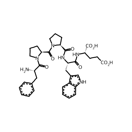 N[C@@H](Cc1ccccc1)C(=O)N1CCC[C@H]1C(=O)N1CCC[C@H]1C(=O)N[C@@H](Cc1c[nH]c2ccccc12)C(=O)N[C@@H](CCC(=O)O)C(=O)O